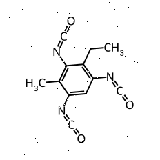 CCc1c(N=C=O)cc(N=C=O)c(C)c1N=C=O